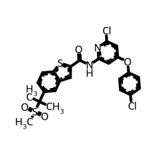 CC(C)(c1ccc2sc(C(=O)Nc3cc(Oc4ccc(Cl)cc4)cc(Cl)n3)cc2c1)S(C)(=O)=O